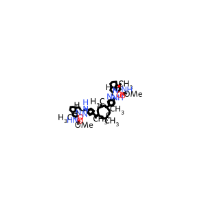 C/C=C1\C=C(\c2ccc3[nH]c([C@@H]4C[C@@H]5CCCC6C(C)[C@H](NC(=O)OC)C(=O)N4[C@@H]65)nc3c2)[C@H](C)CC[C@@H](C)/C=C\C(=C(/C)c2ccc3[nH]c([C@@H]4C[C@@H]5CCCC6C(C)[C@H](NC(=O)OC)C(=O)N4[C@@H]65)nc3c2)CC1